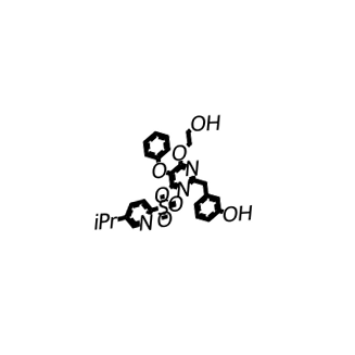 CC(C)c1ccc(S(=O)(=O)Oc2nc(Cc3cccc(O)c3)nc(OCCO)c2Oc2ccccc2)nc1